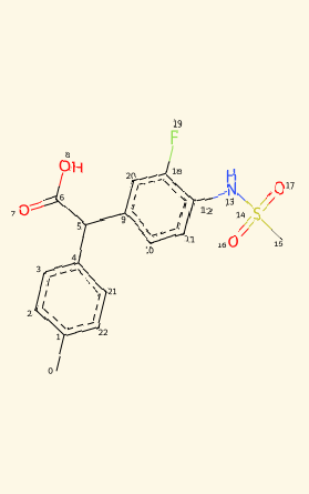 Cc1ccc(C(C(=O)O)c2ccc(NS(C)(=O)=O)c(F)c2)cc1